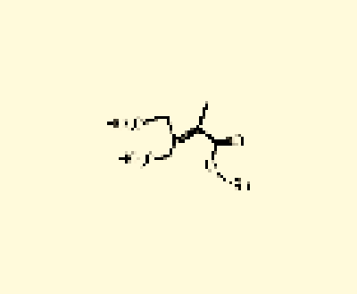 CCCCOC(=O)C(C)=C(CC(=O)O)CC(=O)O